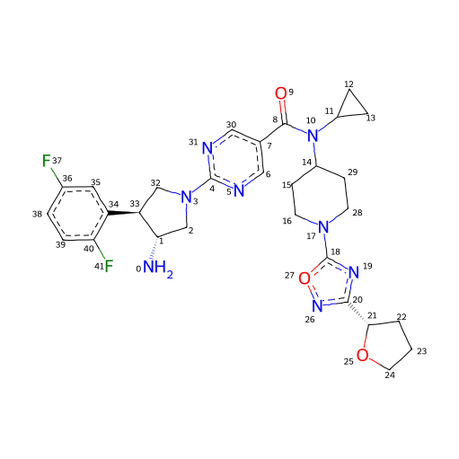 N[C@H]1CN(c2ncc(C(=O)N(C3CC3)C3CCN(c4nc([C@@H]5CCCO5)no4)CC3)cn2)C[C@@H]1c1cc(F)ccc1F